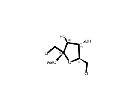 CO[C@]1(CCl)O[C@H](CCl)[C@@H](O)[C@@H]1O